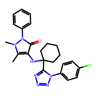 Cc1c(NC2(c3nnnn3-c3ccc(Cl)cc3)CCCCC2)c(=O)n(-c2ccccc2)n1C